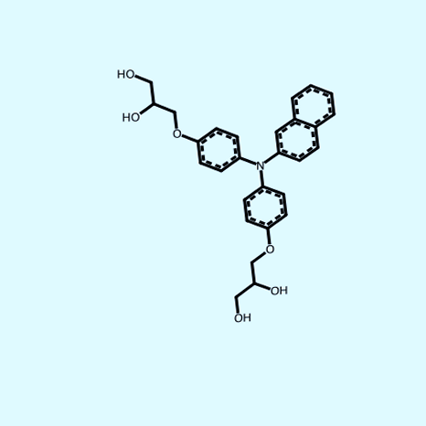 OCC(O)COc1ccc(N(c2ccc(OCC(O)CO)cc2)c2ccc3ccccc3c2)cc1